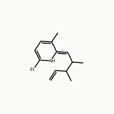 C=CC(C)C(C)/C=C1\NC(CC)=CC=C1C